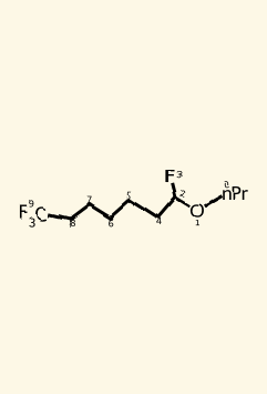 CCCOC(F)CCCCCC(F)(F)F